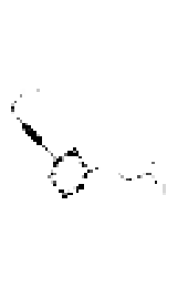 CCCC(CCC)CSc1cccc(C#CCNC(C)=O)c1